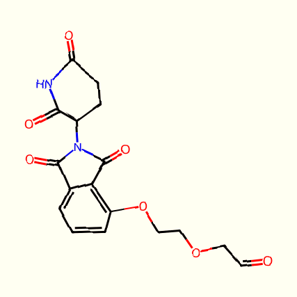 O=CCOCCOc1cccc2c1C(=O)N(C1CCC(=O)NC1=O)C2=O